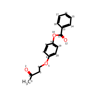 CC(=O)CCOc1ccc(OC(=O)c2ccccc2)cc1